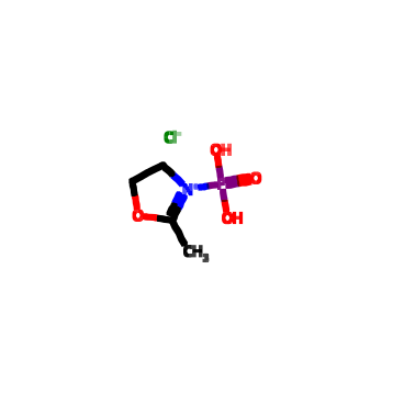 CC1=[N+](P(=O)(O)O)CCO1.[Cl-]